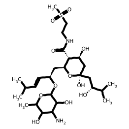 CC(C)/C=C/[C@@H](C[C@@H]1O[C@](O)(C[C@@H](O)C(C)C)C[C@H](O)[C@H]1C(=O)NCCS(C)(=O)=O)OC1OC(C)C(O)C(N)C1O